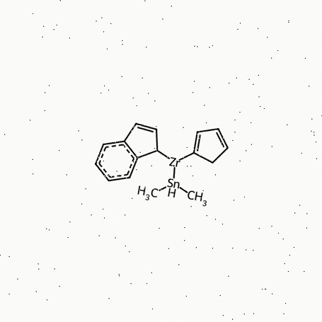 [CH3][SnH]([CH3])[Zr]([C]1=CC=CC1)[CH]1C=Cc2ccccc21